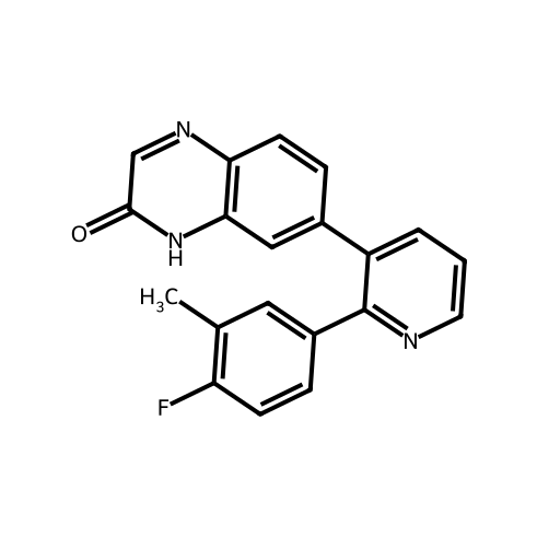 Cc1cc(-c2ncccc2-c2ccc3ncc(=O)[nH]c3c2)ccc1F